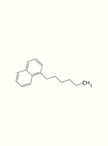 CCCCCCc1cccc2[c]cccc12